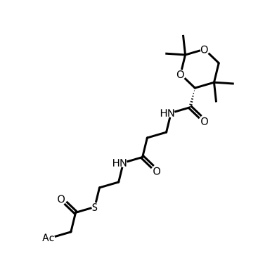 CC(=O)CC(=O)SCCNC(=O)CCNC(=O)[C@@H]1OC(C)(C)OCC1(C)C